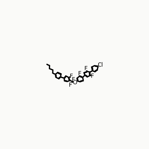 CCCCCc1ccc(-c2ccc(C(F)(F)Oc3ccc(-c4cc(F)c(-c5ccc(Cl)cc5)c(F)c4)c(F)c3)c(F)c2)cc1